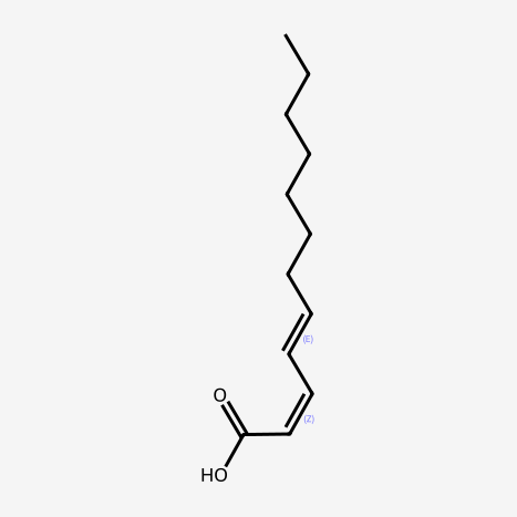 CCCCCCC/C=C/C=C\C(=O)O